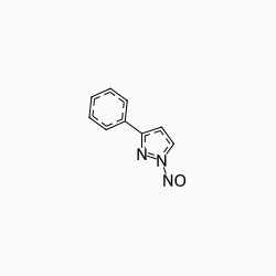 O=Nn1ccc(-c2ccccc2)n1